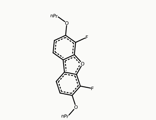 CCCOc1ccc2c(oc3c(F)c(OCCC)ccc32)c1F